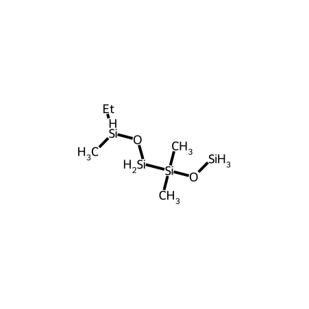 CC[SiH](C)O[SiH2][Si](C)(C)O[SiH3]